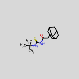 CC(C)(C)NC(=S)NC(=O)CC12CC3CC(CC(C3)C1)C2